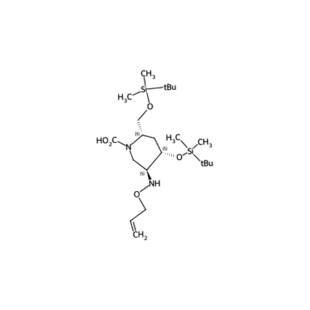 C=CCON[C@H]1CN(C(=O)O)[C@H](CO[Si](C)(C)C(C)(C)C)C[C@@H]1O[Si](C)(C)C(C)(C)C